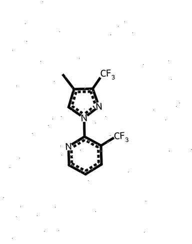 Cc1cn(-c2ncccc2C(F)(F)F)nc1C(F)(F)F